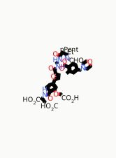 CCCCC[C@@H](C(=O)NCNC(=O)c1ccc(-c2ccc(C(=O)N[C@@H](CC(=O)O)C(=O)O)c(OCC(=O)O)c2)o1)[C@@H](CC)N(C=O)OC(=O)c1ccc(CN2CCOCC2)cc1C